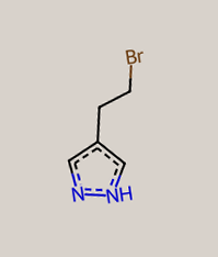 BrCCc1cn[nH]c1